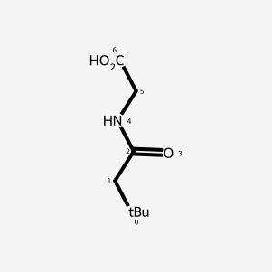 CC(C)(C)CC(=O)NCC(=O)O